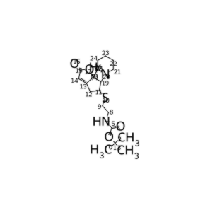 CC(C)(C)OC(=O)NCCSC1CC2=CC(=O)O[C@@]23C1N1CCCC[C@@H]13